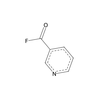 O=C(F)c1cccnc1